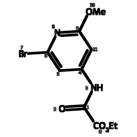 CCOC(=O)C(=O)Nc1cc(Br)nc(OC)c1